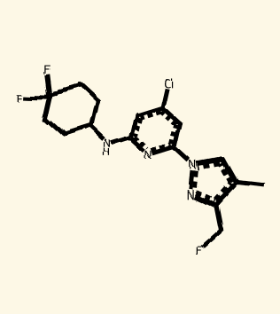 Cc1cn(-c2cc(Cl)cc(NC3CCC(F)(F)CC3)n2)nc1CF